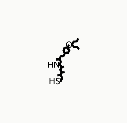 C=C(CCc1ccc(OC(CCC)CCC)cc1)CC(=N)/C(C)=C/C(C)=C(C)/C=C\S